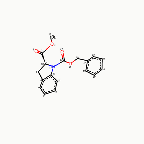 CC(C)(C)OC(=O)[C@@H]1Cc2ccccc2N1C(=O)OCc1ccccc1